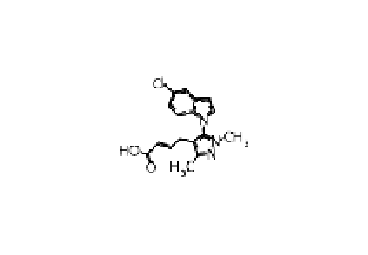 Cc1nn(C)c(-n2ccc3cc(Cl)ccc32)c1C/C=C/C(=O)O